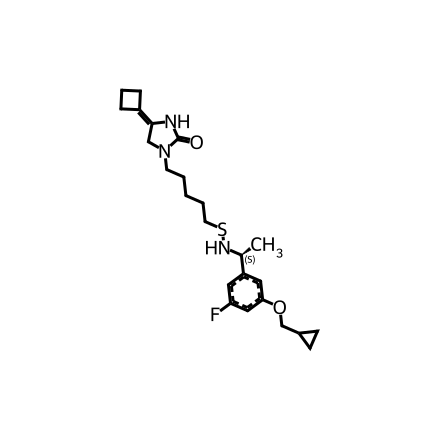 C[C@H](NSCCCCCN1CC(=C2CCC2)NC1=O)c1cc(F)cc(OCC2CC2)c1